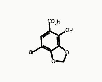 O=C(O)c1cc(Br)c2c(c1O)OCO2